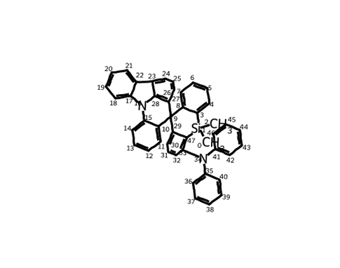 C[Si]1(C)c2ccccc2C2(c3ccccc3-n3c4ccccc4c4cccc2c43)c2cccc(N(c3ccccc3)c3ccccc3)c21